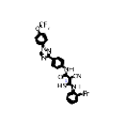 CC(C)c1ccccc1N/C(S)=C(\C#N)C(=O)Nc1ccc(-c2ncn(-c3ccc(OC(F)(F)F)cc3)n2)cc1